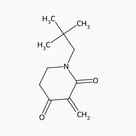 C=C1C(=O)CCN(CC(C)(C)C)C1=O